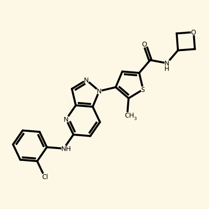 Cc1sc(C(=O)NC2COC2)cc1-n1ncc2nc(Nc3ccccc3Cl)ccc21